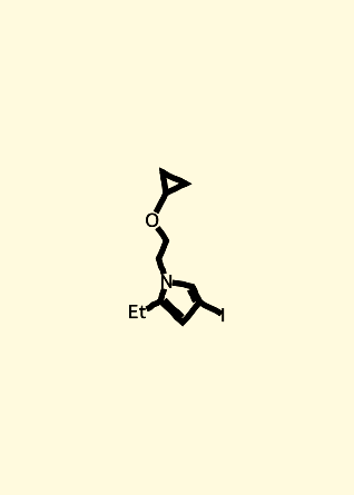 CCc1cc(I)cn1CCOC1CC1